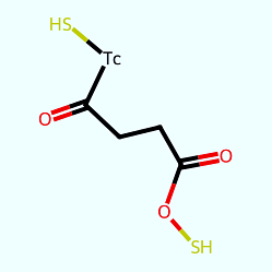 O=C(CC[C](=O)[Tc][SH])OS